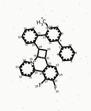 C[n+]1ccc(-c2ccccc2)cc1-c1ccccc1C1CC2c3ccc(F)c(F)c3-c3cccc[n+]3C12